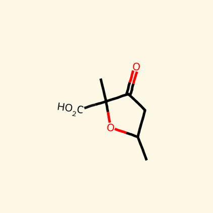 CC1CC(=O)C(C)(C(=O)O)O1